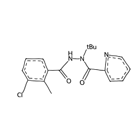 Cc1c(Cl)cccc1C(=O)NN(C(=O)c1ccccn1)C(C)(C)C